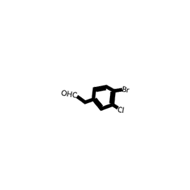 O=CCc1ccc(Br)c(Cl)c1